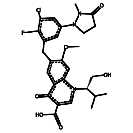 COc1cc2c(cc1Cc1cc(N3CCC(=O)N3C)cc(Cl)c1F)c(=O)c(C(=O)O)cn2[C@H](CO)C(C)C